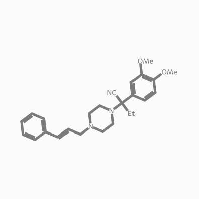 CCC(C#N)(c1ccc(OC)c(OC)c1)N1CCN(CC=Cc2ccccc2)CC1